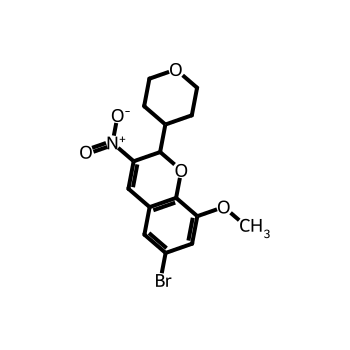 COc1cc(Br)cc2c1OC(C1CCOCC1)C([N+](=O)[O-])=C2